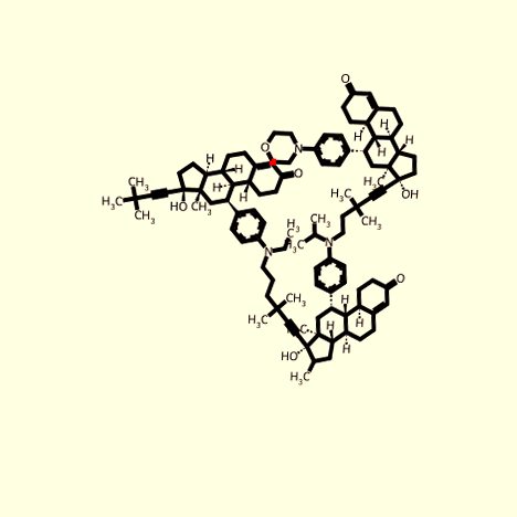 CCN(CCCC(C)(C)C#C[C@]1(O)C(C)C[C@H]2[C@@H]3CCC4=CC(=O)CC[C@@H]4[C@H]3[C@@H](c3ccc(N(CCC(C)(C)C#C[C@]4(O)CC[C@H]5[C@@H]6CCC7=CC(=O)CC[C@@H]7[C@H]6[C@@H](c6ccc(N7CCOCC7)cc6)C[C@@]54C)C(C)C)cc3)C[C@@]21C)c1ccc([C@H]2C[C@@]3(C)[C@@H](CC[C@@]3(O)C#CC(C)(C)C)[C@@H]3CCC4=CC(=O)CC[C@@H]4[C@H]32)cc1